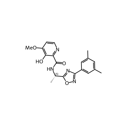 COc1ccnc(C(=O)N[C@@H](C)c2nc(-c3cc(C)cc(C)c3)no2)c1O